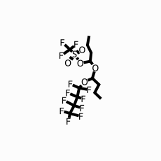 CCCC(OC(CCC)OS(=O)(=O)C(F)(F)F)OC(F)(F)C(F)(F)C(F)(F)C(F)(F)F